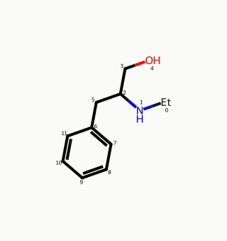 CCNC(CO)Cc1ccccc1